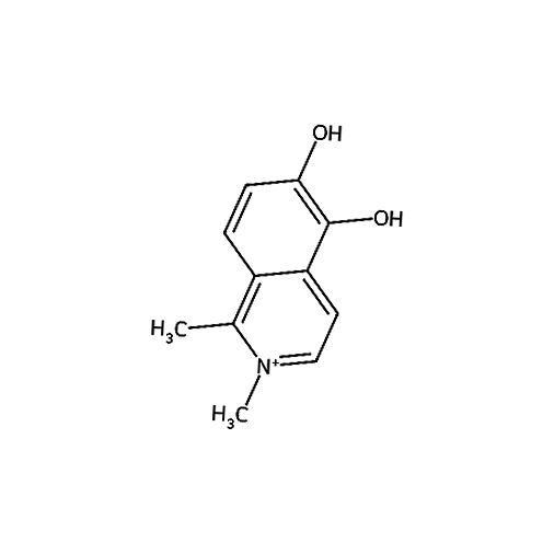 Cc1c2ccc(O)c(O)c2cc[n+]1C